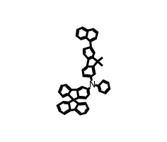 CC1(C)c2cc(-c3cccc4ccccc34)ccc2-c2ccc(N(c3ccccc3)c3ccc4c(c3)-c3ccccc3C43c4ccccc4-c4ccccc43)cc21